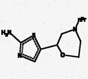 CCCN1CCOC(c2cnc(N)s2)C1